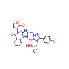 O=C(N[C@H]1CCOC1=O)c1ccccc1-n1cnc(Cn2nc(-c3ccc(Cl)cc3)n(CC(O)C(F)(F)F)c2=O)n1